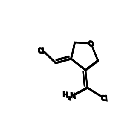 N/C(Cl)=C1/COC/C1=C\Cl